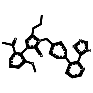 CCCc1cn(-c2c(OC)cccc2C(C)=O)c(=O)n1Cc1ccc(-c2cccnc2-c2nnn[nH]2)cc1